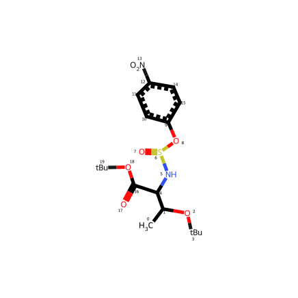 CC(OC(C)(C)C)C(NS(=O)Oc1ccc([N+](=O)[O-])cc1)C(=O)OC(C)(C)C